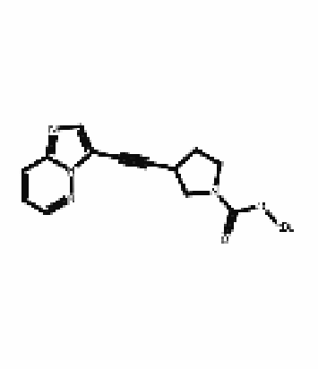 CC(C)(C)OC(=O)N1CCC(C#Cc2cnc3cccnn23)C1